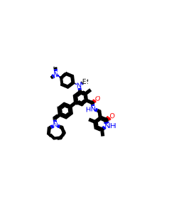 CCN(c1cc(-c2ccc(CN3CCCCCC3)cc2)cc(C(=O)NCc2c(C)cc(C)[nH]c2=O)c1C)[C@H]1CC[C@H](N(C)C)CC1